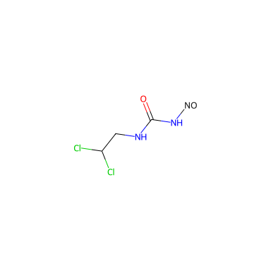 O=NNC(=O)NCC(Cl)Cl